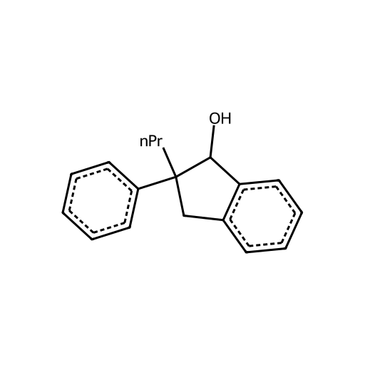 CCCC1(c2ccccc2)Cc2ccccc2C1O